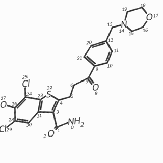 NC(=O)c1c(CCC(=O)c2ccc(CN3CCOCC3)cc2)sc2c(Cl)c(O)c(Cl)cc12